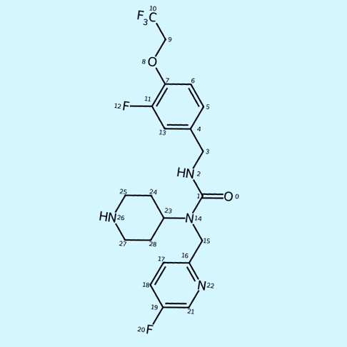 O=C(NCc1ccc(OCC(F)(F)F)c(F)c1)N(Cc1ccc(F)cn1)C1CCNCC1